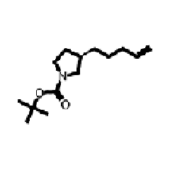 C=CCCC[C@@H]1CCN(C(=O)OC(C)(C)C)C1